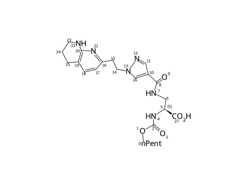 CCCCCOC(=O)N[C@@H](CNC(=O)c1cnn(CCc2ccc3c(n2)NCCC3)c1)C(=O)O